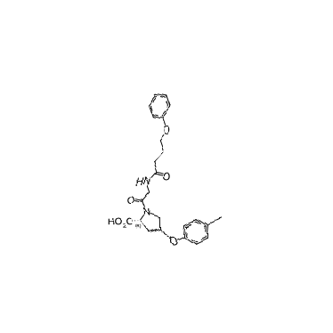 Cc1ccc(OC2C[C@H](C(=O)O)N(C(=O)CNC(=O)CCCOc3ccccc3)C2)cc1